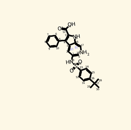 C=C(/C=c1/c(-c2ccccc2)c(C(=O)O)[nH]/c1=C/N)NS(=O)(=O)c1ccc(C(C)(C)C)cc1